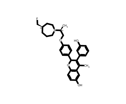 CC1=C(c2cccc(O)c2)C(c2ccc(OC[C@H](C)N3CCC[C@@H](CF)CC3)cc2)Oc2ccc(O)cc21